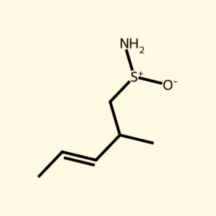 CC=CC(C)C[S+](N)[O-]